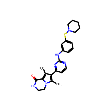 Cc1c(-c2ccnc(Nc3cccc(SN4CCCCC4)c3)n2)c(C)n2c1C(=O)NCC2